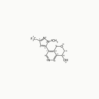 Cn1nc(C(F)(F)F)cc1-c1cncc2c1COCC2O